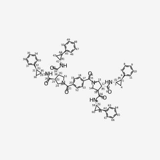 O=C(N[C@H]1C[C@@H]1c1ccccc1)[C@H]1CN(C(=O)c2ccc(C(=O)N3C[C@@H](C(=O)N[C@@H]4C[C@H]4c4ccccc4)[C@H](C(=O)N[C@@H]4C[C@H]4c4ccccc4)C3)cc2)C[C@@H]1C(=O)N[C@H]1C[C@@H]1c1ccccc1